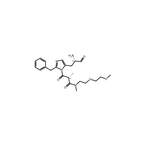 COCCOCCN(C)C(=O)[C@@H](C)C(=O)n1c(C[C@H](N)[C]=O)cnc1Cc1ccccc1